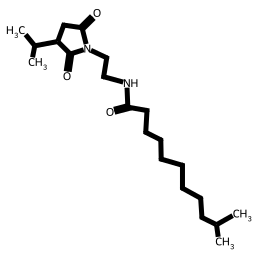 CC(C)CCCCCCCCC(=O)NCCN1C(=O)CC(C(C)C)C1=O